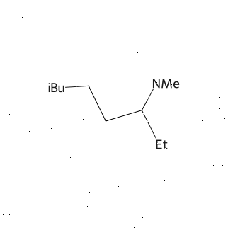 CCC(C)CCC(CC)NC